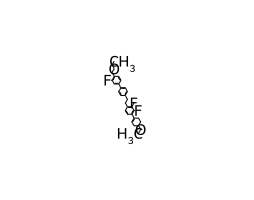 CCOCc1ccc(-c2ccc(CCc3ccc(C4=CCC(OC)CC4)c(F)c3F)cc2)cc1F